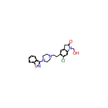 O=C1Cc2cc(CCN3CCN(c4nsc5ccccc45)CC3)c(Cl)cc2N1CO